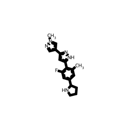 Cc1cc(C2CCCN2)cc(F)c1-c1cc(-c2cnn(C)c2)n[nH]1